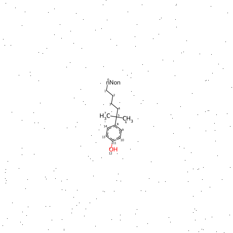 CCCCCCCCCCCCCC(C)(C)c1ccc(O)cc1